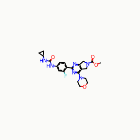 COC(=O)N1Cc2nc(-c3ccc(NC(=O)NC4CC4)cc3F)nc(N3CCOCC3)c2C1